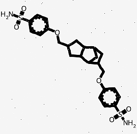 NS(=O)(=O)c1ccc(OCC2CC3C4CC(COc5ccc(S(N)(=O)=O)cc5)C(C4)C3C2)cc1